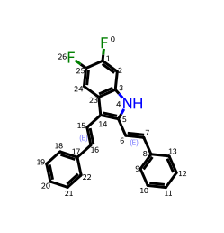 Fc1cc2[nH]c(/C=C/c3ccccc3)c(/C=C/c3ccccc3)c2cc1F